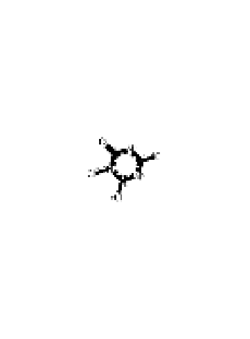 O=c1nc(Cl)nc(Cl)n1Cl